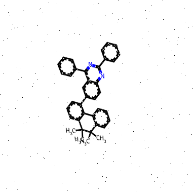 CC1(C)c2ccccc2-c2c(-c3ccc4nc(-c5ccccc5)nc(-c5ccccc5)c4c3)cccc2C1(C)C